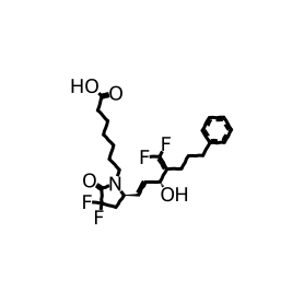 O=C(O)CCCCCCN1C(=O)C(F)(F)C[C@@H]1C=C[C@@H](O)C(CCCc1ccccc1)=C(F)F